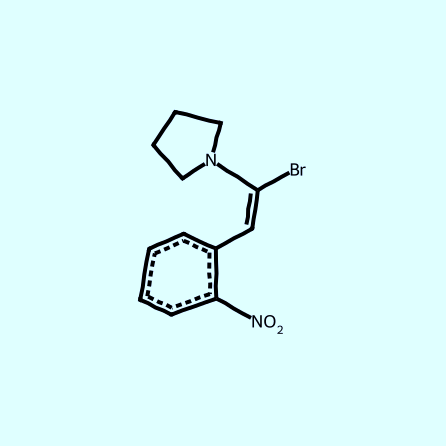 O=[N+]([O-])c1ccccc1/C=C(/Br)N1CCCC1